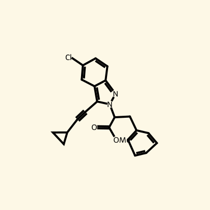 COC(=O)C(Cc1ccccc1)n1nc2ccc(Cl)cc2c1C#CC1CC1